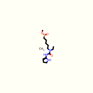 C.CCN(CCCCCS(=O)OC)C(=O)NC1=CCCN1